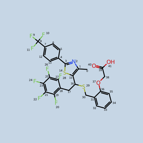 Cc1nc(-c2ccc(C(F)(F)F)cc2)sc1C(Cc1c(F)c(F)c(F)c(F)c1F)SCc1ccccc1OCC(=O)O